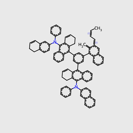 C=c1c(-c2cc(-c3c4c(c(N(c5ccccc5)c5ccc6c(c5)C=CCC6)c5ccccc35)C=CCC4)cc(-c3c4c(c(N(c5ccccc5)c5ccc6ccccc6c5)c5ccccc35)CCC=C4)c2)c2ccccc2c/c1=C/C=C\C